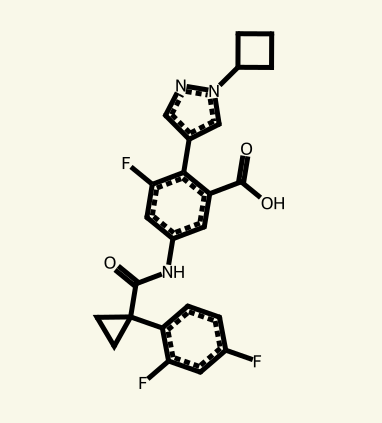 O=C(O)c1cc(NC(=O)C2(c3ccc(F)cc3F)CC2)cc(F)c1-c1cnn(C2CCC2)c1